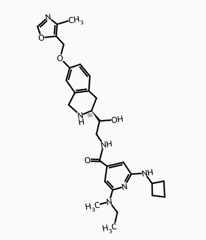 CCN(C)c1cc(C(=O)NCC(O)[C@@H]2Cc3ccc(OCc4ocnc4C)cc3CN2)cc(NC2CCC2)n1